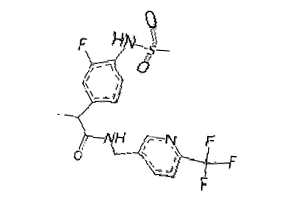 CC(C(=O)NCc1ccc(C(F)(F)F)nc1)c1ccc(NS(C)(=O)=O)c(F)c1